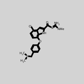 CNC(N)=NC(=O)c1cc2c(Cl)ccc(Oc3ccc(CN(C)C)cc3)c2[nH]1